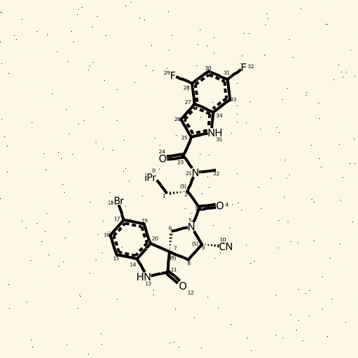 CC(C)C[C@@H](C(=O)N1C[C@]2(C[C@H]1C#N)C(=O)Nc1ccc(Br)cc12)N(C)C(=O)c1cc2c(F)cc(F)cc2[nH]1